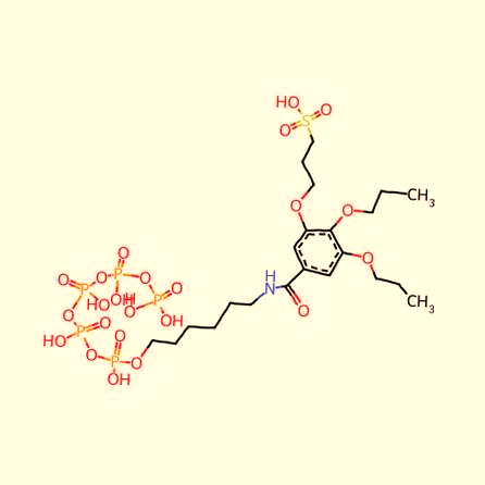 CCCOc1cc(C(=O)NCCCCCCOP(=O)(O)OP(=O)(O)OP(=O)(O)OP(=O)(O)OP(=O)(O)O)cc(OCCCS(=O)(=O)O)c1OCCC